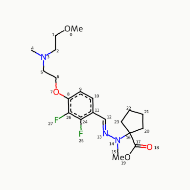 COCCN(C)CCOc1ccc(C=NN(C)C2(C(=O)OC)CCCC2)c(F)c1F